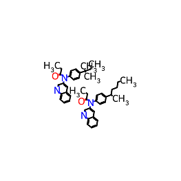 CCC(=O)N(c1ccc(C(C)(C)CC)cc1)c1cnc2ccccc2c1.CCCCC(C)c1ccc(N(C(=O)CC)c2cnc3ccccc3c2)cc1